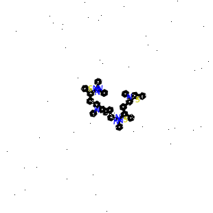 CC1(C)c2cc3c(cc2-c2cccc(-c4cccc(-c5nc(-c6ccccc6)nc(-c6cc(-c7cccc(-c8ccc9c%10c%11sc%12ccccc%12c%11ccc%10n(-c%10ccccc%10)c9c8)c7)cc7c6sc6ccccc67)n5)c4)c21)c1ccc(-c2cccc(-c4cc(-c5nc(-c6ccccc6)nc(-c6ccccc6)n5)c5sc6ccccc6c5c4)c2)cc1n3-c1ccccc1